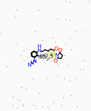 [N-]=[N+]=Nc1cccc(NCCC(S)CC(=O)[SH](N2C(=O)CCC2=O)S(=O)(=O)O)c1[N+](=O)[O-]